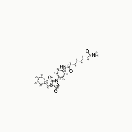 CNC(=O)CCCCCCC(=O)Nc1ccc(-n2sc(=O)n(Cc3ccccc3)c2=O)cc1